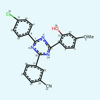 COc1ccc(-c2nc(-c3ccc(Cl)cc3)nc(-c3cccc(C#N)c3)n2)c(O)c1